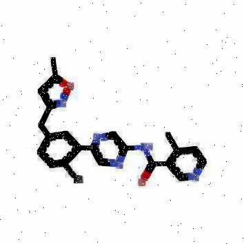 CCc1ccc(Cc2cc(C)on2)cc1-c1cnc(NC(=O)c2cnccc2C)cn1